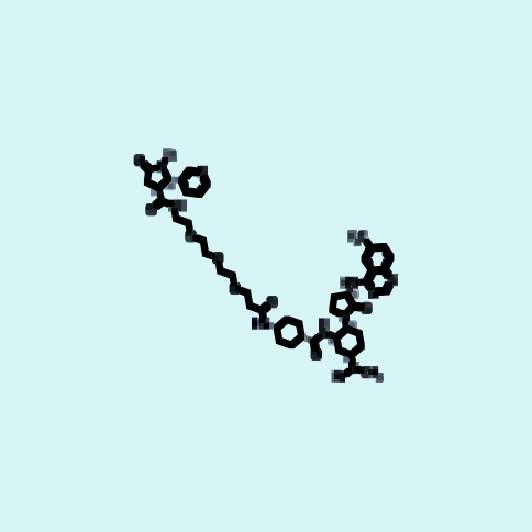 CCN1C(=O)C[C@H](C(=O)NCCOCCOCCOCCC(=O)N[C@H]2CC[C@@H](C(=O)N[C@@H]3C[C@H](N(C)C(C)C)CC[C@@H]3N3CC[C@H](Nc4ncnc5ccc(C(F)(F)F)cc45)C3=O)CC2)[C@H]1c1cccnc1